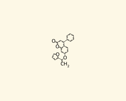 C=C(Oc1ccc2c(-c3ccccc3)cc(=O)oc2c1)c1ccco1